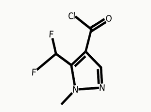 Cn1ncc(C(=O)Cl)c1C(F)F